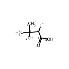 CC(C)(C)C(I)C(=O)O